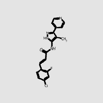 Cc1c(-c2ccncc2)n[nH]c1NC(=O)C=Cc1ccc(Cl)cc1F